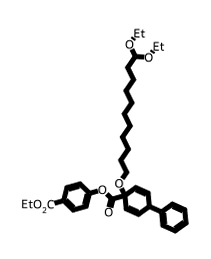 CCOC(=O)c1ccc(OC(=O)C2(OCCCCCCCCCCC(OCC)OCC)C=CC(c3ccccc3)C=C2)cc1